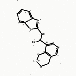 OC(Nc1nc2ccccc2s1)c1cccc2c1CNCC2